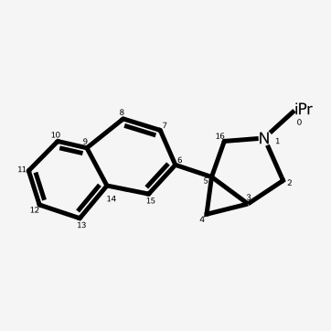 CC(C)N1CC2CC2(c2ccc3ccccc3c2)C1